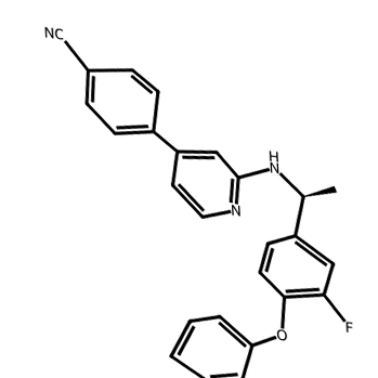 C[C@H](Nc1cc(-c2ccc(C#N)cc2)ccn1)c1ccc(Oc2ccccc2)c(F)c1